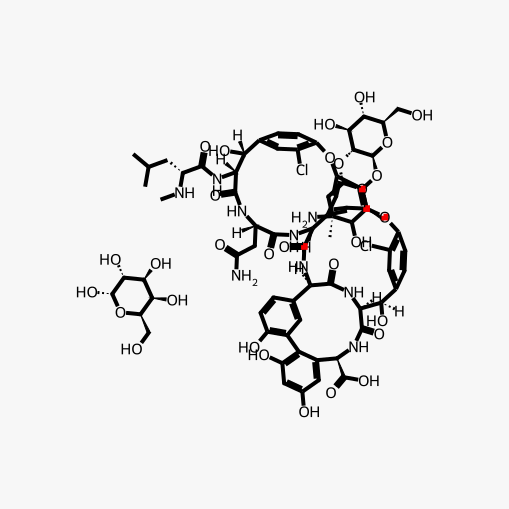 CN[C@H](CC(C)C)C(=O)N[C@H]1C(=O)N[C@@H](CC(N)=O)C(=O)N[C@H]2C(=O)N[C@H]3C(=O)N[C@H](C(=O)N[C@@H](C(=O)O)c4cc(O)cc(O)c4-c4cc3ccc4O)[C@H](O)c3ccc(c(Cl)c3)Oc3cc2cc(c3O[C@@H]2O[C@H](CO)[C@@H](O)[C@H](O)[C@H]2O[C@H]2C[C@](C)(N)C(O)[C@H](C)O2)Oc2ccc(cc2Cl)[C@H]1O.OC[C@H]1O[C@H](O)[C@H](O)[C@@H](O)[C@H]1O